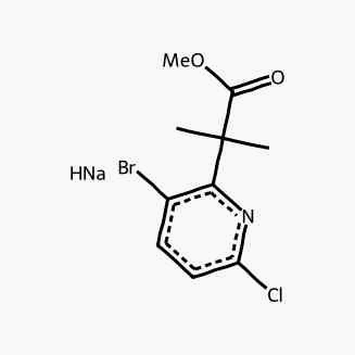 COC(=O)C(C)(C)c1nc(Cl)ccc1Br.[NaH]